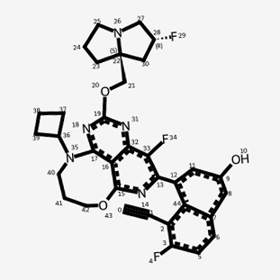 C#Cc1c(F)ccc2cc(O)cc(-c3nc4c5c(nc(OC[C@@]67CCCN6C[C@H](F)C7)nc5c3F)N(C3CCC3)CCCO4)c12